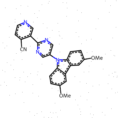 COc1ccc2c(c1)c1cc(OC)ccc1n2-c1cnc(-c2cnccc2C#N)nc1